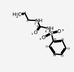 C=CCNC(=O)NS(=O)(=O)c1ccccc1